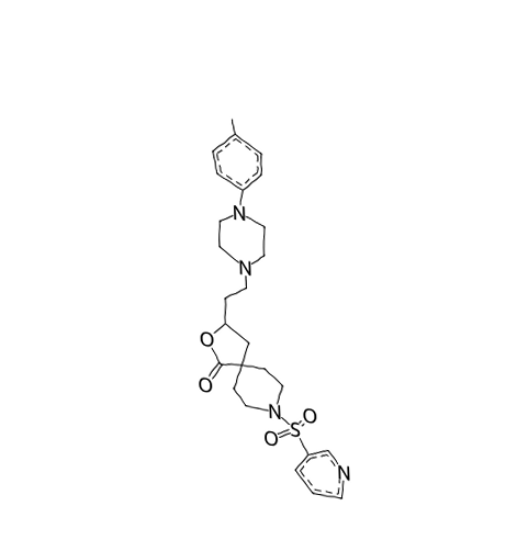 Cc1ccc(N2CCN(CCC3CC4(CCN(S(=O)(=O)c5cccnc5)CC4)C(=O)O3)CC2)cc1